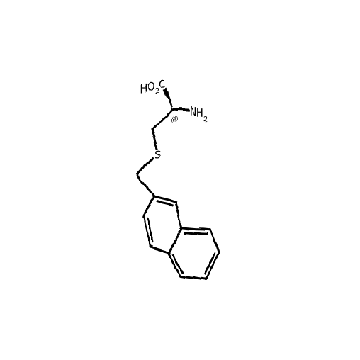 N[C@@H](CSCc1ccc2ccccc2c1)C(=O)O